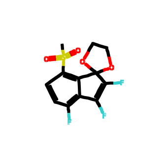 CS(=O)(=O)c1ccc(F)c2c1C1(OCCO1)C(F)=C2F